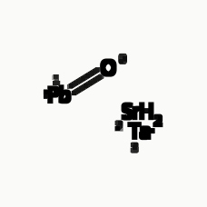 [O]=[Pb].[SrH2].[Ta]